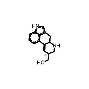 OC[C@H]1C=C2c3cccc4[nH]cc(c34)CC2NC1